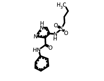 CCCCS(=O)(=O)Nc1c[nH]nc1C(=O)Nc1ccccc1